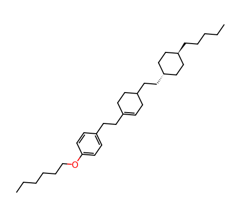 CCCCCCOc1ccc(CCC2=CCC(CC[C@H]3CC[C@H](CCCCC)CC3)CC2)cc1